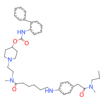 CCCN(C)C(=O)Cc1ccc(NCCCCCC(=O)N(C)CCN2CCC(OC(=O)Nc3ccccc3-c3ccccc3)CC2)cc1